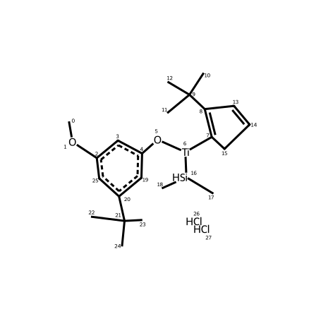 COc1cc([O][Ti]([C]2=C(C(C)(C)C)C=CC2)[SiH](C)C)cc(C(C)(C)C)c1.Cl.Cl